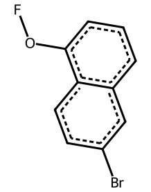 FOc1cccc2cc(Br)ccc12